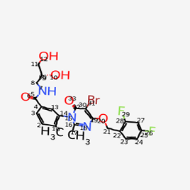 Cc1ccc(C(=O)NC[C@@H](O)CO)cc1-n1c(C)nc(OCc2ccc(F)cc2F)c(Br)c1=O